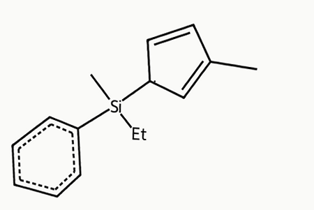 CC[Si](C)([C]1C=CC(C)=C1)c1ccccc1